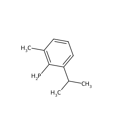 Cc1cccc(C(C)C)c1P